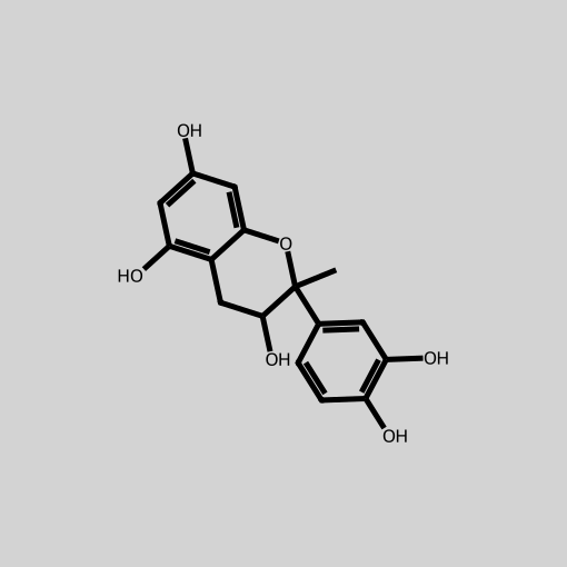 CC1(c2ccc(O)c(O)c2)Oc2cc(O)cc(O)c2CC1O